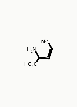 CCC/C=C\C(N)C(=O)O